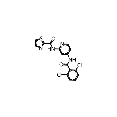 O=C(Nc1cc(NC(=O)c2c(Cl)cccc2Cl)ccn1)c1nccs1